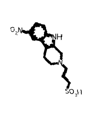 O=[N+]([O-])c1ccc2[nH]c3c(c2c1)CCN(CCCS(=O)(=O)O)C3